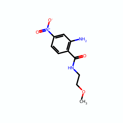 COCCNC(=O)c1ccc([N+](=O)[O-])cc1N